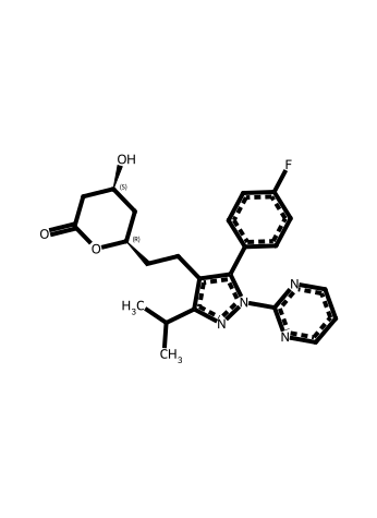 CC(C)c1nn(-c2ncccn2)c(-c2ccc(F)cc2)c1CC[C@@H]1C[C@H](O)CC(=O)O1